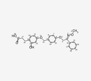 CON=C(COc1ccc(COc2ccc(CCC(=O)O)c(O)c2)cc1)c1ccccc1